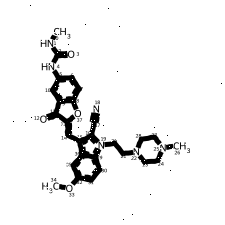 CNC(=O)Nc1ccc2c(c1)C(=O)/C(=C/c1c(C#N)n(CCN3CCN(C)CC3)c3ccc(OC)cc13)O2